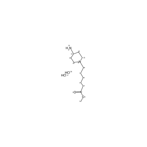 COC(=O)CCCCCN1CCC(N)CC1.Cl.Cl